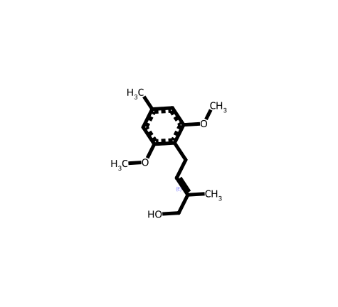 COc1cc(C)cc(OC)c1C/C=C(\C)CO